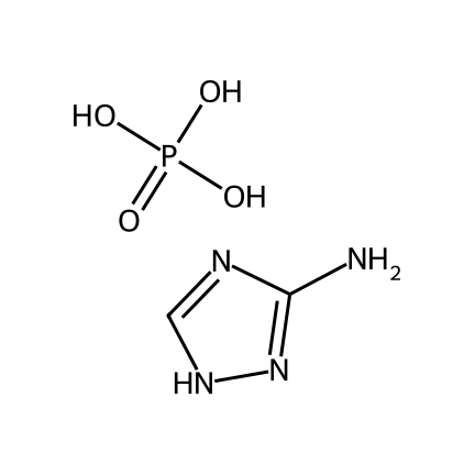 Nc1nc[nH]n1.O=P(O)(O)O